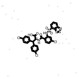 O=C(N[C@H](C(=O)O)C(c1ccc(Cl)cc1)c1ccc(Cl)cc1)c1ccc(Cl)cc1NS(=O)(=O)c1cccc2nsnc12